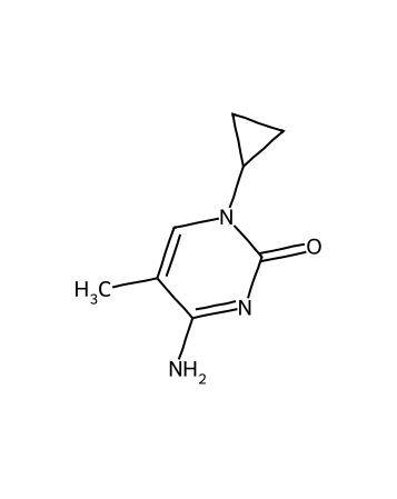 Cc1cn(C2CC2)c(=O)nc1N